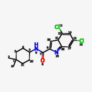 CC1(C)CCC(NC(=O)C2=CC3C(Cl)=CC(Cl)=CC3=N2)CC1